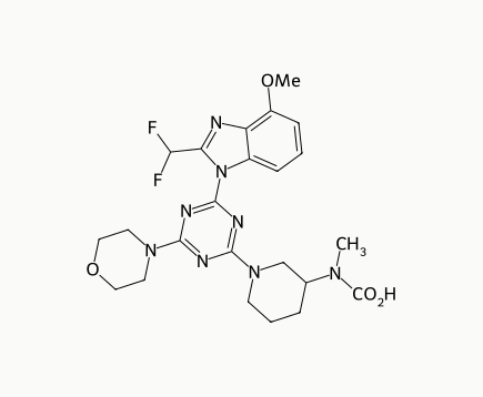 COc1cccc2c1nc(C(F)F)n2-c1nc(N2CCOCC2)nc(N2CCCC(N(C)C(=O)O)C2)n1